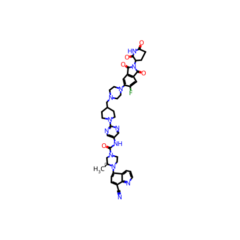 C[C@H]1CN(C(=O)Nc2cnc(N3CCC(CN4CCN(c5cc6c(cc5F)C(=O)N(C5CCC(=O)NC5=O)C6=O)CC4)CC3)nc2)CCN1c1ccc(C#N)c2ncccc12